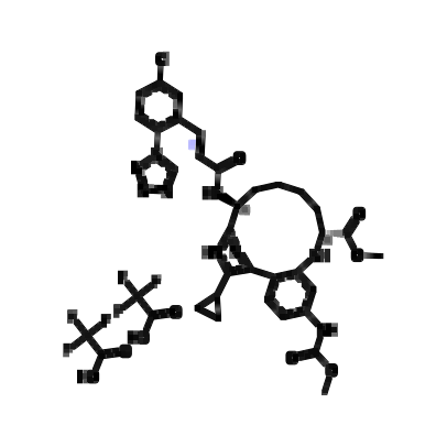 COC(=O)Nc1ccc2c(c1)N[C@@H](C(=O)OC)CCCC[C@H](NC(=O)/C=C/c1cc(Cl)ccc1-n1cnnn1)c1nc-2c(C2CC2)[nH]1.O=C(O)C(F)(F)F.O=C(O)C(F)(F)F